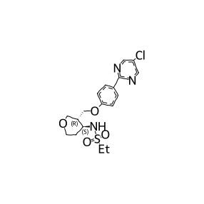 CCS(=O)(=O)N[C@H]1CCOC[C@@H]1COc1ccc(-c2ncc(Cl)cn2)cc1